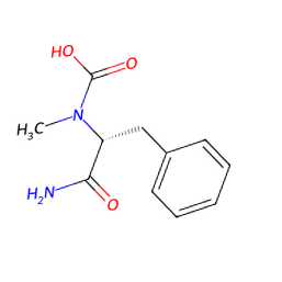 CN(C(=O)O)[C@H](Cc1ccccc1)C(N)=O